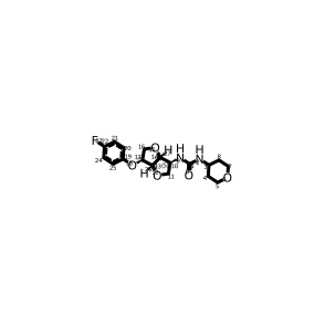 O=C(NC1CCOCC1)N[C@H]1CO[C@H]2[C@@H]1OC[C@@H]2Oc1ccc(F)cc1